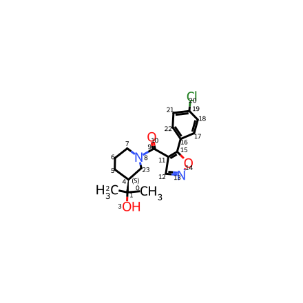 CC(C)(O)[C@H]1CCCN(C(=O)c2cnoc2-c2ccc(Cl)cc2)C1